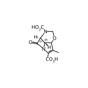 CC1=C(C(=O)O)N2C(=O)[C@@H]3[C@@H]2C1OCN3C(=O)O